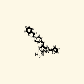 Nc1ncc(CN2CCN(CCc3ccccc3)CC2)c2nc(-c3ccco3)nn12